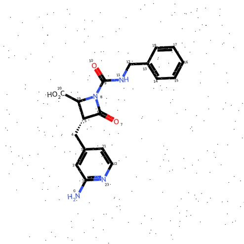 Nc1cc(C[C@H]2C(=O)N(C(=O)NCc3ccccc3)C2C(=O)O)ccn1